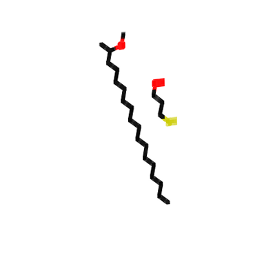 CCCCCCCCCCCCCCCCC(C)OC.OCCCS